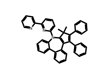 CC1(C)C(c2ccccc2)=C(c2ccccc2)C2=C1N(c1cccc(-c3ccccn3)n1)c1ccccc1-c1ccccc12